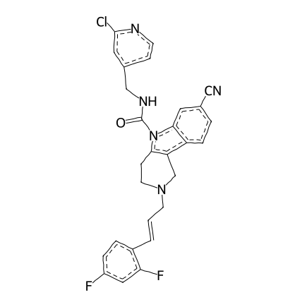 N#Cc1ccc2c3c(n(C(=O)NCc4ccnc(Cl)c4)c2c1)CCN(CC=Cc1ccc(F)cc1F)C3